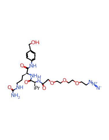 CC(C)[C@H](NC(=O)COCCOCCOCCN=[N+]=[N-])C(=O)N[C@@H](CCCNC(N)=O)C(=O)Nc1ccc(CO)cc1